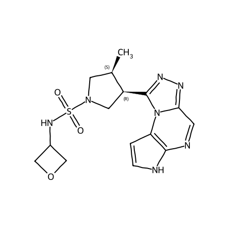 C[C@@H]1CN(S(=O)(=O)NC2COC2)C[C@@H]1c1nnc2cnc3[nH]ccc3n12